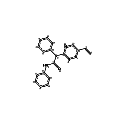 C=Cc1cnc(N(C(=O)Nc2ccccc2)c2ccccc2)nc1